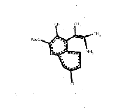 COc1nc2cc(Cl)ccc2c(C(C)=C(C)N)c1C#N